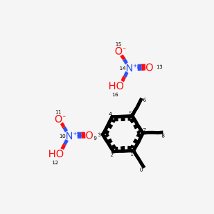 Cc1cccc(C)c1C.O=[N+]([O-])O.O=[N+]([O-])O